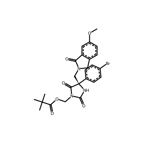 COc1ccc2c(c1)C(=O)N(C[C@@]1(c3ccc(Br)cc3)NC(=O)N(COC(=O)C(C)(C)C)C1=O)C2